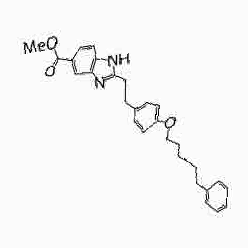 COC(=O)c1ccc2[nH]c(CCc3ccc(OCCCCCc4ccccc4)cc3)nc2c1